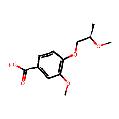 COc1cc(C(=O)O)ccc1OC[C@@H](C)OC